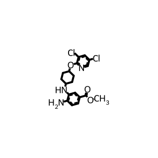 COC(=O)c1ccc(N)c(NC2CCC(Oc3ncc(Cl)cc3Cl)CC2)c1